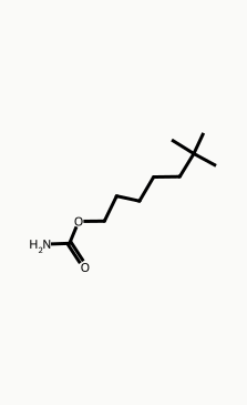 CC(C)(C)CCCCCOC(N)=O